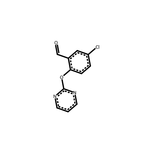 O=Cc1cc(Cl)ccc1Oc1ncccn1